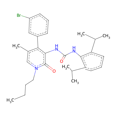 CCCCn1cc(C)c(-c2cccc(Br)c2)c(NC(=O)Nc2c(C(C)C)cccc2C(C)C)c1=O